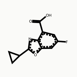 O=C(O)c1cc(F)cc2oc(C3CC3)nc12